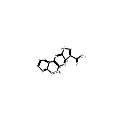 Cc1ncccc1-c1nc2[nH]cc(C(N)=O)c2nc1C